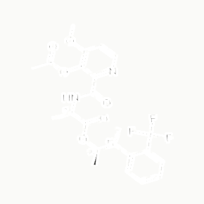 COc1ccnc(C(=O)N[C@@H](C)C(=O)O[C@H](C)[C@H](C)c2ccccc2C(F)(F)F)c1OC(C)=O